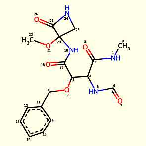 CNC(=O)C(NC=O)C(OCc1ccccc1)C(=O)NC1(OC)CNC1=O